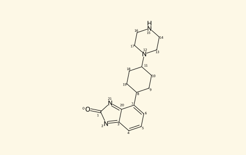 O=C1N=c2cccc(C3CCC(N4CCNCC4)CC3)c2=N1